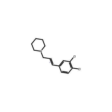 Clc1ccc(/C=C/CN2CCCCC2)cc1Cl